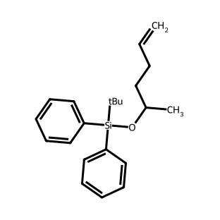 C=CCCC(C)O[Si](c1ccccc1)(c1ccccc1)C(C)(C)C